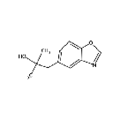 CC(C)(O)Cc1ccc2ocnc2c1